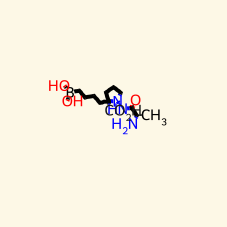 C[C@H](N)C(=O)NN1CCCC1(CCCCB(O)O)C(=O)O